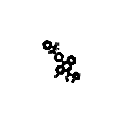 COC(C1=Cc2cccnc2[C@@H](N2CCN(C(=O)[C@](C)(O)c3ccccc3)CC2)c2ccc(Cl)cc21)c1cncn1C